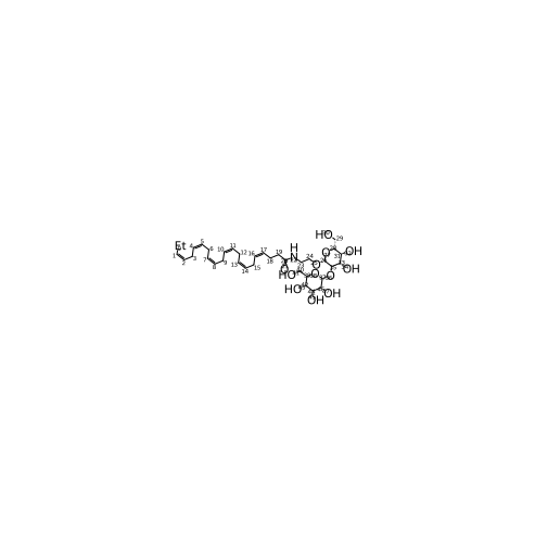 CC/C=C\C/C=C\C/C=C\C/C=C\C/C=C\C/C=C\CCC(=O)NCCO[C@@H]1O[C@H](CO)[C@@H](O)[C@H](O)[C@H]1O[C@@H]1O[C@H](CO)[C@@H](O)[C@H](O)[C@H]1O